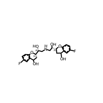 OC1C[C@@H]([C@H](O)CNCC(O)[C@H]2CC(O)c3cc(F)ccc3O2)Oc2ccc(F)cc21